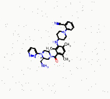 Cc1cc(C)c(C(=O)N2CCN(c3cccnn3)[C@H](CN)C2)c(C)c1NC1CCN(c2ccccc2C#N)CC1